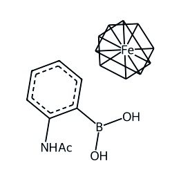 CC(=O)Nc1ccccc1B(O)O.[CH]12[CH]3[CH]4[CH]5[CH]1[Fe]23451678[CH]2[CH]1[CH]6[CH]7[CH]28